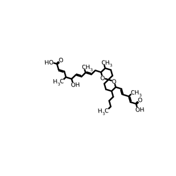 CCCCC1CCC2(CCC(C)C(C/C=C(C)/C=C/C(O)C(C)/C=C/C(=O)O)O2)OC1/C=C/C(C)=C/C(=O)O